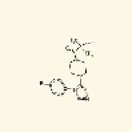 C[C@@](O)(C(=O)N1CCC(c2cncn2-c2ccc(F)cc2)CC1)C(F)(F)F